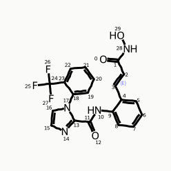 O=C(/C=C/c1ccccc1NC(=O)c1nccn1-c1ccccc1C(F)(F)F)NO